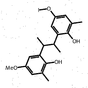 COc1cc(C)c(O)c(C(C)C(C)c2cc(OI)cc(C)c2O)c1